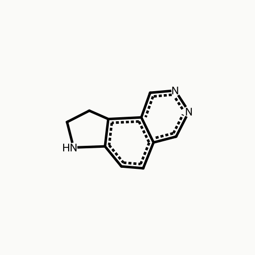 c1cc2cnncc2c2c1NCC2